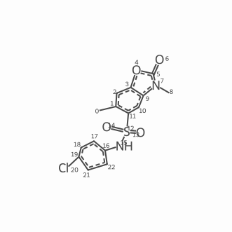 Cc1cc2oc(=O)n(C)c2cc1S(=O)(=O)Nc1ccc(Cl)cc1